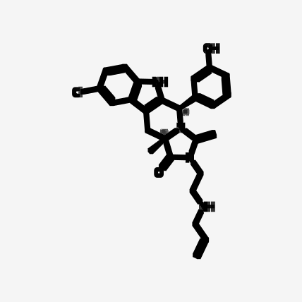 C=CCNCCN1C(=C)N2[C@H](c3cccc(O)c3)c3[nH]c4ccc(Cl)cc4c3C[C@@]2(C)C1=O